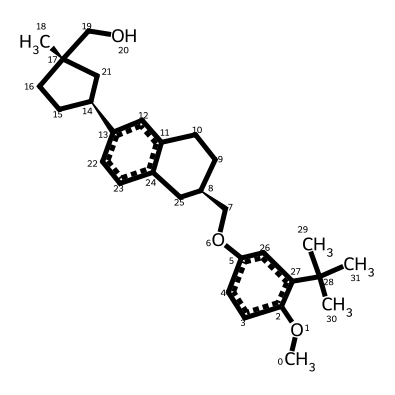 COc1ccc(OC[C@@H]2CCc3cc([C@H]4CC[C@](C)(CO)C4)ccc3C2)cc1C(C)(C)C